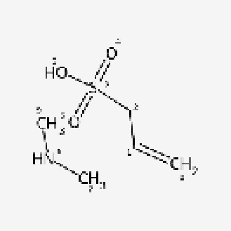 C=CCS(=O)(=O)O.CNC